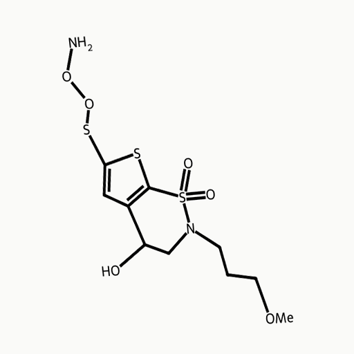 COCCCN1CC(O)c2cc(SOON)sc2S1(=O)=O